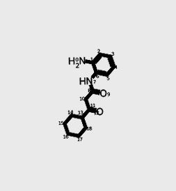 Nc1ccccc1NC(=O)CC(=O)C1CCCCC1